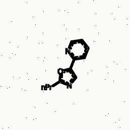 CCCc1ncc(-c2ccccn2)o1